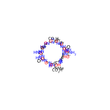 CN[C@@H](CC(=O)O)C(O)N[C@H]1CCc2cn(nn2)CCCC[C@@H](C(=O)N[C@H](C(N)=O)[C@@H](C)O)NC(=O)[C@H](Cc2c[nH]c3ccccc23)NC(=O)[C@H](C(C)C)NC(=O)[C@H](CC(C)C)NC(=O)[C@H](CCC(=O)O)NC(=O)CNC(=O)[C@H](CC(C)C)NC(=O)[C@H](Cc2c[nH]cn2)NC(=O)[C@H](Cc2c[nH]c3ccccc23)NC(=O)[C@H](C)NC1=O